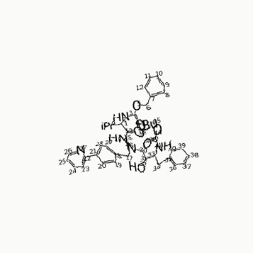 CC(C)C(NC(=O)OCc1ccccc1)C(=O)NN(Cc1ccc(-c2ccccn2)cc1)C[C@H](O)[C@H](Cc1ccccc1)NC(=O)OC(C)(C)C